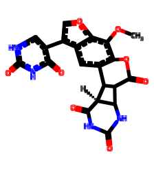 COc1c2c(cc3c(-c4c[nH]c(=O)[nH]c4=O)coc13)C1C(C(=O)O2)C2NC(=O)NC(=O)[C@H]21